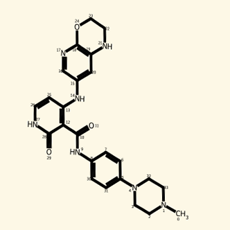 CN1CCN(c2ccc(NC(=O)c3c(Nc4cnc5c(c4)NCCO5)cc[nH]c3=O)cc2)CC1